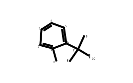 Cc1ccccc1C(C)(C)I